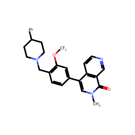 CC(C)C1CCN(Cc2ccc(-c3cn(C)c(=O)c4cnccc34)cc2OC(F)(F)F)CC1